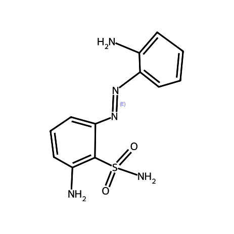 Nc1ccccc1/N=N/c1cccc(N)c1S(N)(=O)=O